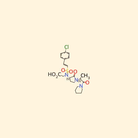 C[C@@H](C(=O)N1CCCCC1)N1CC[C@H](N(CC(=O)O)S(=O)(=O)C=Cc2ccc(Cl)cc2)C1=O